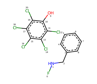 FNCc1ccccc1.Oc1c(Cl)c(Cl)c(Cl)c(Cl)c1Cl